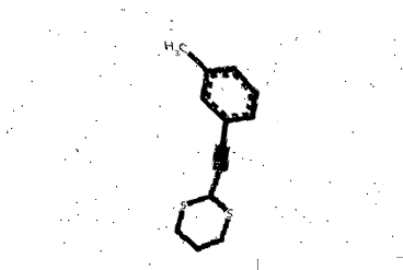 Cc1cccc(C#CC2SCCCS2)c1